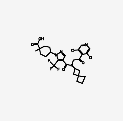 CC1(C(=O)O)CCC(n2ncc(C(=O)N(CC(=O)c3c(Cl)cncc3Cl)C3CC4(CCC4)C3)c2C(F)(F)F)CC1